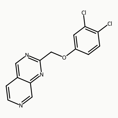 Clc1ccc(OCc2ncc3ccncc3n2)cc1Cl